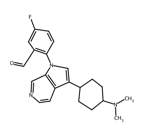 CN(C)C1CCC(c2cn(-c3ccc(F)cc3C=O)c3cnccc23)CC1